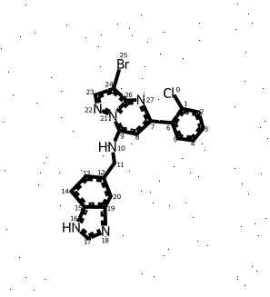 Clc1ccccc1-c1cc(NCc2ccc3[nH]cnc3c2)n2ncc(Br)c2n1